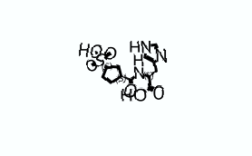 O=C(N[C@@H](Cc1c[nH]cn1)C(=O)O)[C@H]1CC[C@H](S(=O)(=O)O)C1